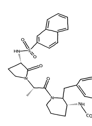 C[C@@H](C(=O)N1CCC[C@@H](NC(=O)O)C1Cc1ccccc1)N1CC[C@H](NS(=O)(=O)c2ccc3ccccc3c2)C1=O